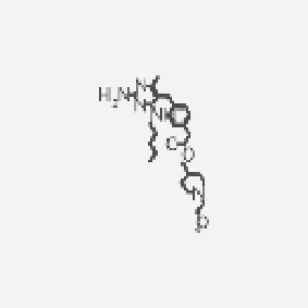 CCCCCNc1nc(N)nc(C)c1Cc1ccc(CC(=O)OCC2CCN(CCOC)CC2)cc1